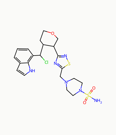 NS(=O)(=O)N1CCN(Cc2nc(C3COCCC3C(Cl)c3cccc4cc[nH]c34)ns2)CC1